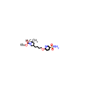 CC(C)(C)OC(=O)N1CC(CCCCOc2ccc(S(N)(=O)=O)cn2)CC1(C)C